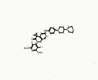 COc1nc(OC)c(F)c(N2Cc3cnc(Nc4ccc(N5CCC(N6CCOCC6)CC5)cc4)cc3C3(CC3)C2=O)c1F